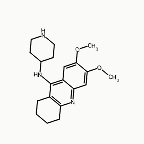 COc1cc2nc3c(c(NC4CCNCC4)c2cc1OC)CCCC3